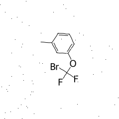 Cc1cccc(OC(F)(F)Br)c1